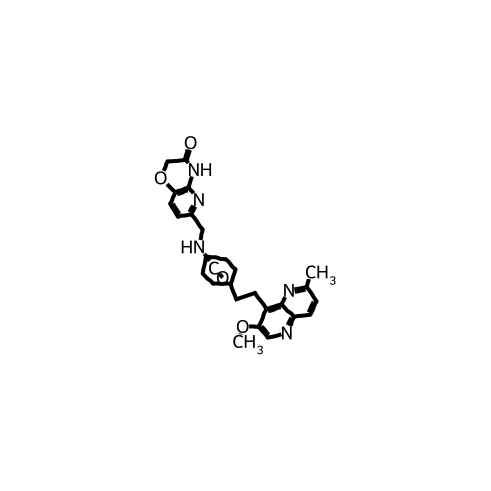 COc1cnc2ccc(C)nc2c1CCC12CCC(NCc3ccc4c(n3)NC(=O)CO4)(CC1)CO2